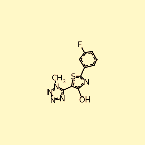 Cn1nnnc1-c1sc(-c2cccc(F)c2)nc1O